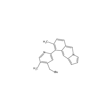 Cc1cnc(-c2c(C)ccc3cn4cccc4cc23)cc1CC(C)(C)C